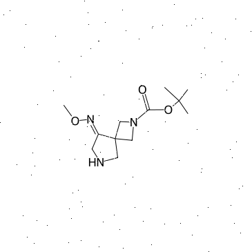 CO/N=C1\CNCC12CN(C(=O)OC(C)(C)C)C2